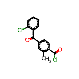 Cc1cc(C(=O)c2ccccc2Cl)ccc1C(=O)Cl